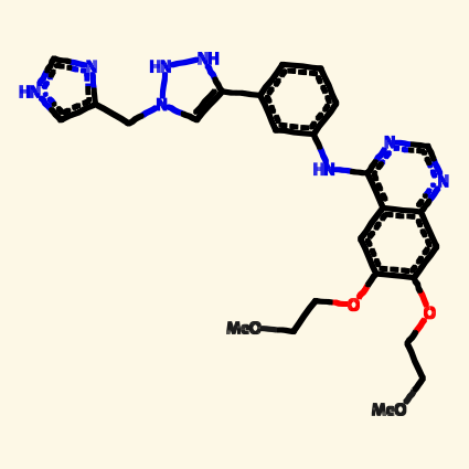 COCCOc1cc2ncnc(Nc3cccc(C4=CN(Cc5c[nH]cn5)NN4)c3)c2cc1OCCOC